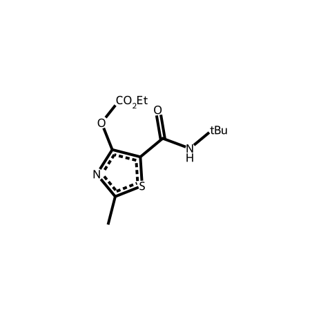 CCOC(=O)Oc1nc(C)sc1C(=O)NC(C)(C)C